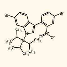 CC(C)[Si](C(C)C)(C(C)C)n1cc(-c2ccc(Br)cc2[N+](=O)[O-])c2ccc(Br)cc21